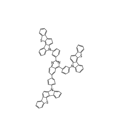 c1cc(-c2nc(-c3cccc(-n4c5ccccc5c5c6sc7ccccc7c6ccc54)c3)c3cc(-c4ccc(-n5c6ccccc6c6c7sc8ccccc8c7ccc65)cc4)ccc3n2)cc(-n2c3ccccc3c3c4sc5ccccc5c4ccc32)c1